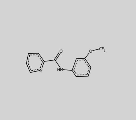 O=C(Nc1cccc(OC(F)(F)F)c1)c1ccccn1